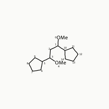 COC(CC(OC)C1CCCC1)C1CCCC1